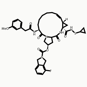 COc1cccc(CC(=O)N[C@H]2CCCCC/C=C\[C@@H]3C[C@@]3(C(=O)NSC3CC3)NC(=O)C3C[C@@H](OC(=O)N4Cc5cccc(F)c5C4)CN3C2=O)c1